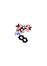 CC1(C)O[C@H]2[C@@H]([C@H]3COC(C)(C)O3)O[C@H](Nc3ccc4ccccc4c3)[C@H]2O1